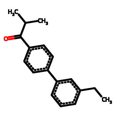 CCc1cccc(-c2ccc(C(=O)C(C)C)cc2)c1